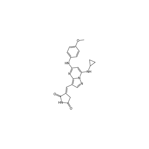 COc1ccc(Nc2cc(NC3CC3)n3ncc(C=C4CC(=O)NC4=O)c3n2)cc1